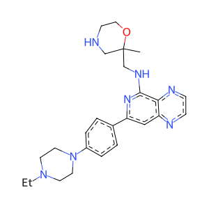 CCN1CCN(c2ccc(-c3cc4nccnc4c(NCC4(C)CNCCO4)n3)cc2)CC1